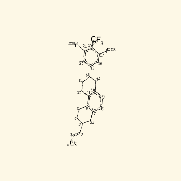 CCC=CC1CCc2c(ccc3c2CCC(c2cc(F)c(C(F)(F)F)c(F)c2)C3)C1